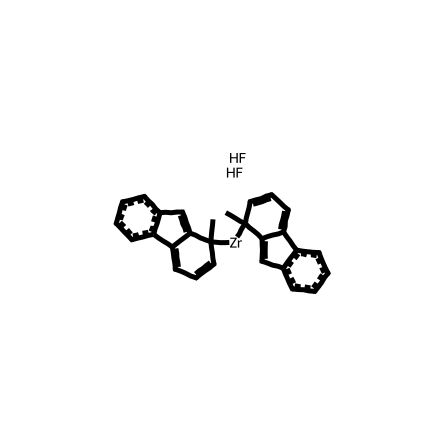 C[C]1([Zr][C]2(C)C=CC=C3C2=Cc2ccccc23)C=CC=C2C1=Cc1ccccc12.F.F